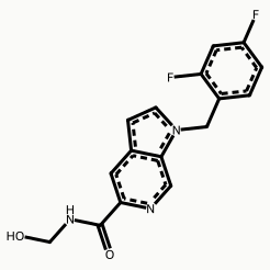 O=C(NCO)c1cc2ccn(Cc3ccc(F)cc3F)c2cn1